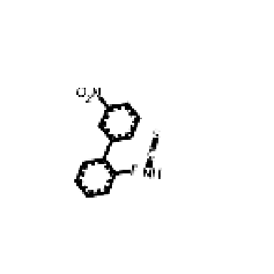 N=C=S.O=[N+]([O-])c1cccc(-c2ccccc2F)c1